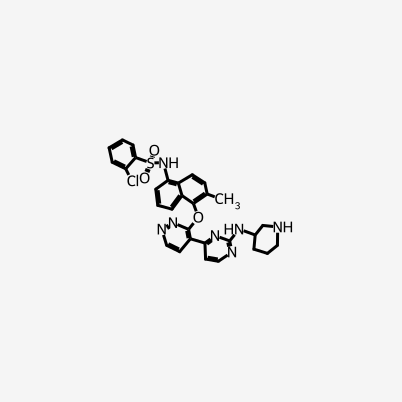 Cc1ccc2c(NS(=O)(=O)c3ccccc3Cl)cccc2c1Oc1nnccc1-c1ccnc(NC2CCCNC2)n1